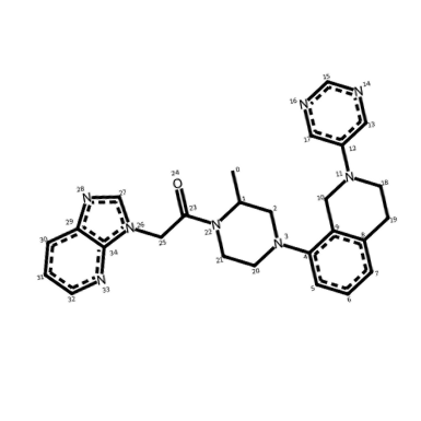 CC1CN(c2cccc3c2CN(c2cncnc2)CC3)CCN1C(=O)Cn1cnc2cccnc21